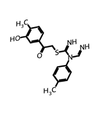 Cc1ccc(N(C=N)C(=N)SCC(=O)c2ccc(C)c(O)c2)cc1